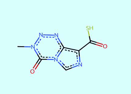 Cn1nnc2c(C(=O)S)ncn2c1=O